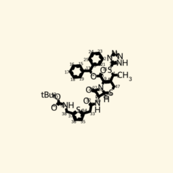 CC(Sc1nnn[nH]1)C1=C(C(=O)OC(c2ccccc2)c2ccccc2)N2C(=O)[C@@H](NC(=O)Cc3ccc(CNC(=O)OC(C)(C)C)s3)[C@@H]2SC1